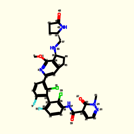 COc1nc(-c2ccc(F)c(-c3c(F)ccc(NC(=O)c4ccnn(C)c4=O)c3Cl)c2Cl)cc2c1[C@@H](NC[C@@H]1CCC(=O)N1)CC2